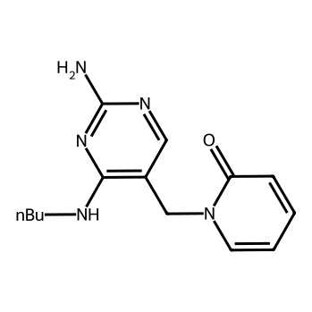 CCCCNc1nc(N)ncc1Cn1ccccc1=O